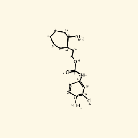 Cc1ccc(NC(=O)OCCC2CCCCCC2N)cc1Cl